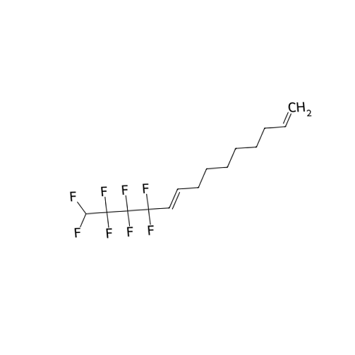 C=CCCCCCCC=CC(F)(F)C(F)(F)C(F)(F)C(F)F